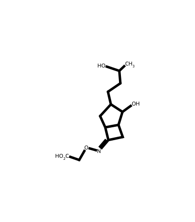 CC(O)CCC1CC2C(=NOCC(=O)O)CC2C1O